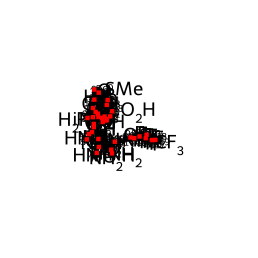 CSCC[C@H](NC(=O)[C@@H]1CCCN1C(=O)CNC(=O)[C@H](CCCCN)NC(=O)[C@H](Cc1c[nH]cn1)NC(=O)[C@H](CO)NC(=O)[C@H](CC(C)C)NC(=O)[C@H](CCCNC(=N)N)NC(=O)[C@@H]1CCCN1C(=O)[C@H](CCCNC(=N)N)NC(=O)[C@H](CCC(N)=O)NC(=O)[C@@H](N)CCCCNC(=O)CCC(F)(F)C(F)(F)C(F)(F)C(F)(F)C(F)(F)C(F)(F)C(F)(F)C(F)(F)F)C(=O)N1CCC[C@H]1C(=O)N[C@@H](Cc1ccccc1)C(=O)O